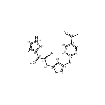 CC(=O)c1ccc(Cc2ccc(CC(=O)C(=O)c3nc[nH]n3)s2)cc1